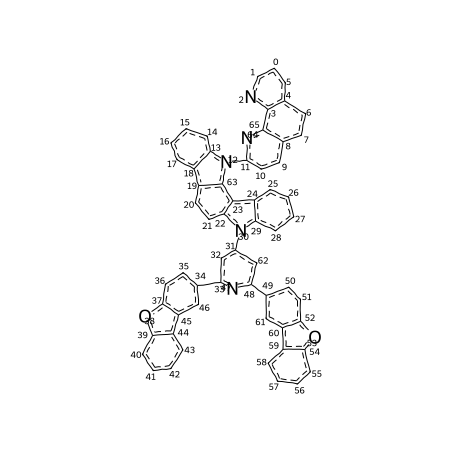 c1cnc2c(c1)ccc1ccc(-n3c4ccccc4c4ccc5c(c6ccccc6n5-c5cc(-c6ccc7oc8ccccc8c7c6)nc(-c6ccc7oc8ccccc8c7c6)c5)c43)nc12